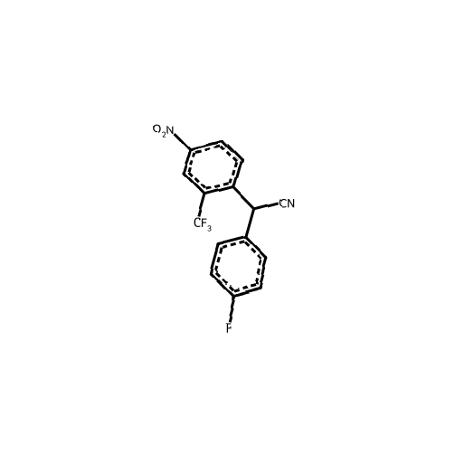 N#CC(c1ccc(F)cc1)c1ccc([N+](=O)[O-])cc1C(F)(F)F